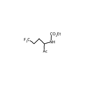 CCOC(=O)NC(CCC(F)(F)F)C(C)=O